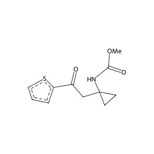 COC(=O)NC1(CC(=O)c2cccs2)CC1